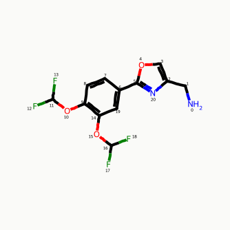 NCc1coc(-c2ccc(OC(F)F)c(OC(F)F)c2)n1